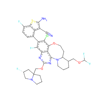 N#Cc1c(N)sc2c(F)ccc(-c3c(Cl)c4c5c(nc(OCC67CCCN6C[C@H](F)C7)nc5c3F)N3CCCC(COC(F)F)C3CCO4)c12